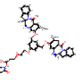 COc1cc2c(cc1OCc1cc(COc3cc4c(cc3OC)C(=O)N3c5ccccc5C[C@H]3C=N4)cc(OCCOCCC(=O)ON3C(=O)CCC3=O)c1)N=C[C@@H]1Cc3ccccc3N1C2=O